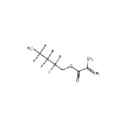 C=C(C)C(=O)OCC(F)(F)C(F)(F)C(C)(F)F